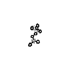 C1=CC(c2nc(C3=CC(c4ccc(-n5c6ccccc6c6c7ccccc7c7c(c65)Oc5ccccc5O7)cc4)CC=C3)nc(-c3ccccc3)n2)=CCC1